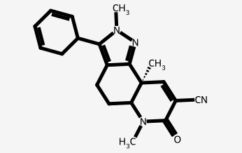 CN1C(=O)C(C#N)=C[C@]2(C)c3nn(C)c(C4C=CC=CC4)c3CCC12